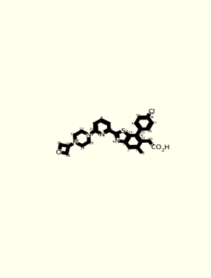 Cc1cc2nc(-c3cccc(N4CCN(C5COC5)CC4)n3)sc2c(-c2ccc(Cl)cc2)c1CC(=O)O